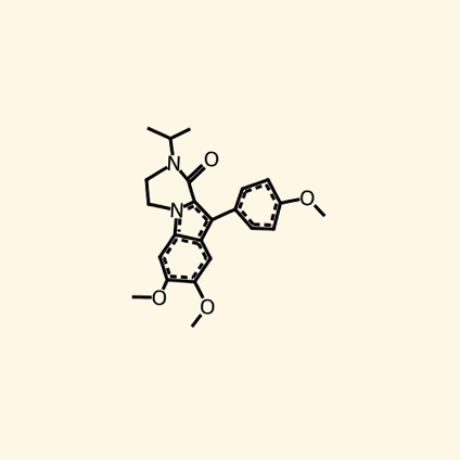 COc1ccc(-c2c3n(c4cc(OC)c(OC)cc24)CCN(C(C)C)C3=O)cc1